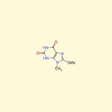 CSc1nc2c(=O)[nH]c(=O)[nH]c2n1C